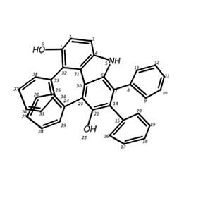 Oc1ccc2[nH]c3c(-c4ccccc4)c(-c4ccccc4)c(O)c(-c4ccccc4)c3c2c1-c1ccccc1